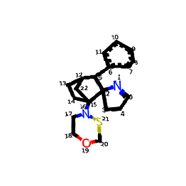 C1=NC2(CC1)C(c1ccccc1)C1CCC2(N2CCOCS2)C1